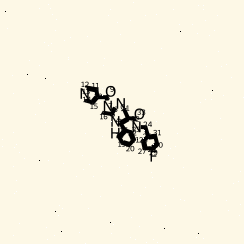 N#Cc1c(NC2CN(C(=O)c3ccncc3)C2)c2ccccc2n(Cc2ccc(F)cc2)c1=O